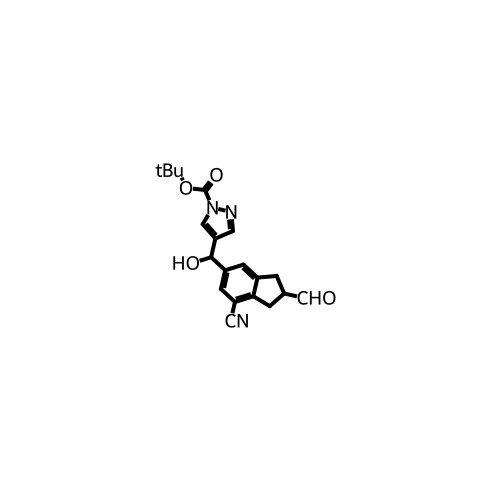 CC(C)(C)OC(=O)n1cc(C(O)c2cc(C#N)c3c(c2)CC(C=O)C3)cn1